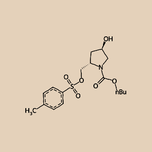 CCCCOC(=O)N1C[C@H](O)C[C@H]1COS(=O)(=O)c1ccc(C)cc1